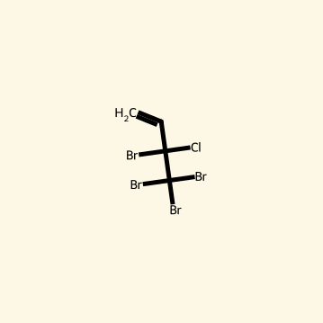 C=CC(Cl)(Br)C(Br)(Br)Br